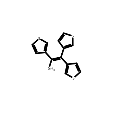 [SiH3]C(=C(c1ccsc1)c1ccsc1)c1ccsc1